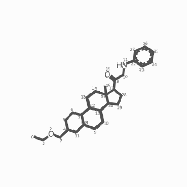 CCOCC1CCC2C(CCC3C2CCC2(C)C(C(=O)CNc4ccccc4)CCC32)C1